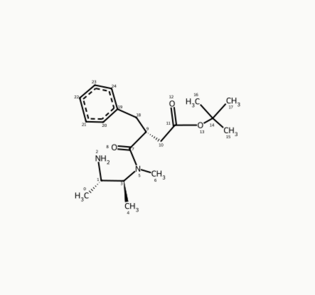 C[C@H](N)[C@H](C)N(C)C(=O)[C@@H](CC(=O)OC(C)(C)C)Cc1ccccc1